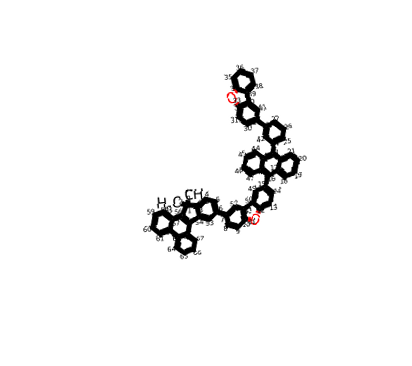 CC1(C)c2ccc(-c3ccc4oc5ccc(-c6c7ccccc7c(-c7cccc(-c8ccc9oc%10ccccc%10c9c8)c7)c7ccccc67)cc5c4c3)cc2-c2c1c1ccccc1c1ccccc21